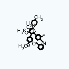 COc1ccc(-c2c(-c3ccc(C#N)c(F)c3)nc(N3CCC(C)CC3)c(C)c2OC)cc1OCc1ccccc1